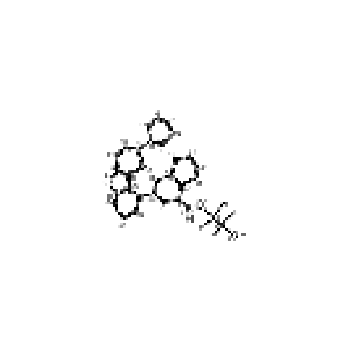 CC(C)(O)C(C)(C)OBc1cc(-c2cccc3oc4ccc(-c5ccccc5)cc4c23)cc2ccccc12